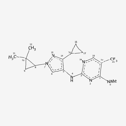 CNc1nc(Nc2cn(C3CC3(C)C)nc2C2CC2)ncc1C(F)(F)F